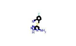 N#Cc1cc(F)ccc1CSc1cc(N)nc2[nH]nnc12